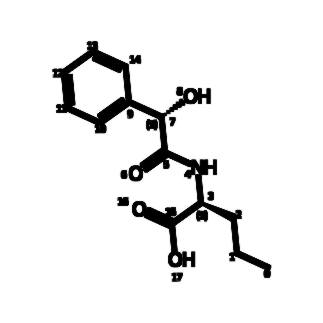 CCC[C@H](NC(=O)[C@@H](O)c1ccccc1)C(=O)O